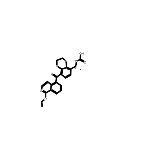 CCOc1nccc2c(C(=O)c3ccc([C@@H](C)NC(=O)O)c4c3OCCO4)cccc12